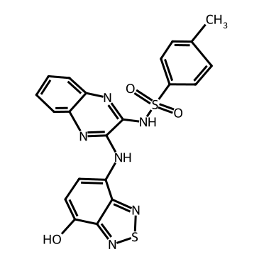 Cc1ccc(S(=O)(=O)Nc2nc3ccccc3nc2Nc2ccc(O)c3nsnc23)cc1